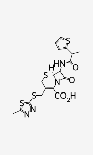 Cc1nnc(SCC2=C(C(=O)O)N3C(=O)C(NC(=O)C(C)c4cccs4)[C@@H]3SC2)s1